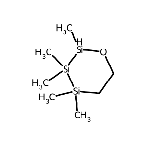 C[SiH]1OCC[Si](C)(C)[Si]1(C)C